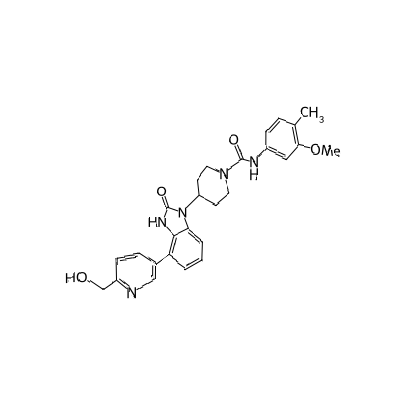 COc1cc(NC(=O)N2CCC(n3c(=O)[nH]c4c(-c5ccc(CO)nc5)cccc43)CC2)ccc1C